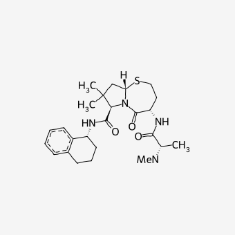 CN[C@@H](C)C(=O)N[C@H]1CCS[C@H]2CC(C)(C)[C@H](C(=O)N[C@@H]3CCCc4ccccc43)N2C1=O